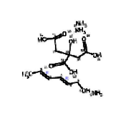 C/C=C/C=C/CO.N.N.N.O=C(O)CC(O)(CC(=O)O)C(=O)O